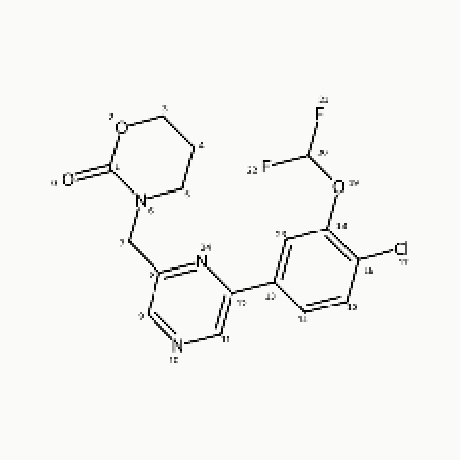 O=C1OCCCN1Cc1cncc(-c2ccc(Cl)c(OC(F)F)c2)n1